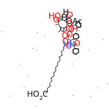 CC(=O)O[C@@]12CO[C@@H]1C[C@H](O)[C@@]1(C)C(=O)[C@H](C)C3=C(C)[C@@H](OC(=O)[C@H](OC(=O)CCCCCCCCCCCCCCCCCCC(=O)O)[C@@H](NC(=O)c4ccccc4)c4ccccc4)C[C@@](O)([C@@H](OC(=O)c4ccccc4)[C@H]21)C3(C)C